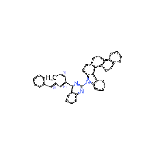 C\C=C/C(=C\C=C\c1ccccc1)c1nc(-n2c3ccccc3c3c4c(ccc5c6ccccc6ccc54)ccc32)nc2ccccc12